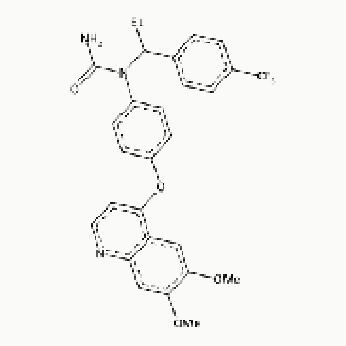 CCC(c1ccc(C(F)(F)F)cc1)N(C(N)=O)c1ccc(Oc2ccnc3cc(OC)c(OC)cc23)cc1